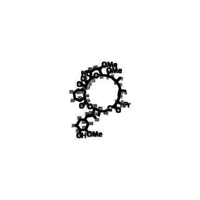 CCCC1C=C(C)CC(C)CC(OC)C2OC(O)(C(=O)C(=O)N3CCCCC3C(=O)OC(C(C)=CC3CCC(O)C(OC)C3)C(C)CCC1=O)C(C)CC2OC